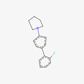 Fc1ccccc1-c1ccc(N2CCCCC2)cc1